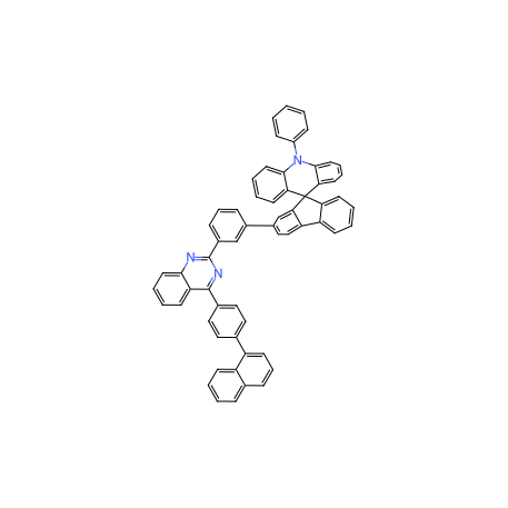 c1ccc(N2c3ccccc3C3(c4ccccc4-c4ccc(-c5cccc(-c6nc(-c7ccc(-c8cccc9ccccc89)cc7)c7ccccc7n6)c5)cc43)c3ccccc32)cc1